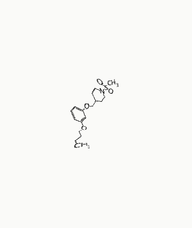 CCCCOc1cccc(OCC2CCN(S(C)(=O)=O)CC2)c1